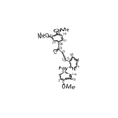 COc1ccc(Nc2ncccc2C=CC(=O)c2ccc(OC)c(OC)c2)cc1